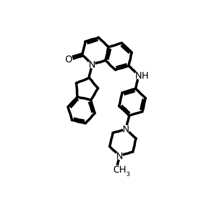 CN1CCN(c2ccc(Nc3ccc4ccc(=O)n(C5Cc6ccccc6C5)c4c3)cc2)CC1